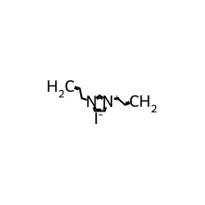 C=CCn1cc[n+](CC=C)c1.[I-]